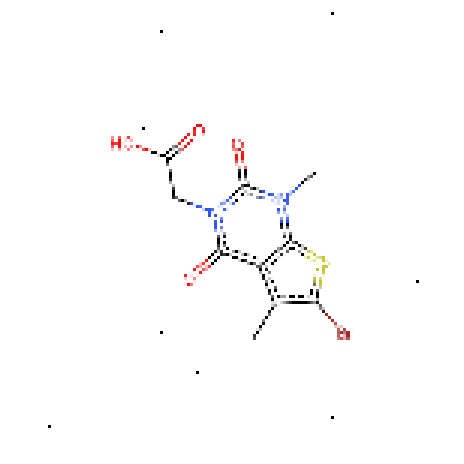 Cc1c(Br)sc2c1c(=O)n(CC(=O)O)c(=O)n2C